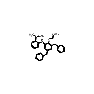 COCOc1c(CC2C=CC=CC2)cc(CC2C=CC=CC2)cc1Pc1ccccc1N(C)C